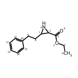 CCOC(=O)C1NC1CCc1ccccc1